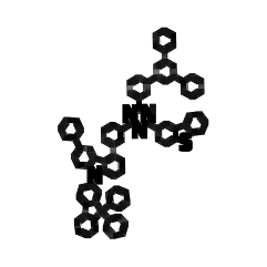 c1ccc(-c2cc(-c3ccccc3)cc(-c3cccc(-c4nc(-c5cccc(-c6cccc7c6c6cc(-c8ccccc8)ccc6n7-c6ccc7c(c6)C(c6ccccc6)(c6ccccc6)c6ccccc6-7)c5)nc(-c5ccc6sc7ccccc7c6c5)n4)c3)c2)cc1